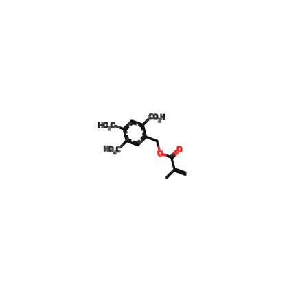 C=C(C)C(=O)OCc1cc(C(=O)O)c(C(=O)O)cc1C(=O)O